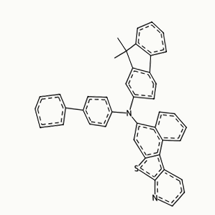 CC1(C)c2ccccc2-c2ccc(N(c3ccc(-c4ccccc4)cc3)c3cc4sc5ncccc5c4c4ccccc34)cc21